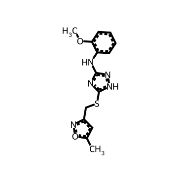 COc1ccccc1Nc1n[nH]c(SCc2cc(C)on2)n1